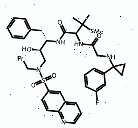 CSC(C)(C)C(NC(=O)CNC1(c2cccc(F)c2)CC1)C(=O)N[C@@H](Cc1ccccc1)[C@H](O)CN(CC(C)C)S(=O)(=O)c1ccc2ncccc2c1